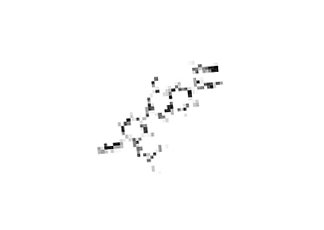 C=C1C=C(c2ccc(OC)c(OC(F)F)c2)N=C2C=CC(N(CCC)CCCCC)=CN12